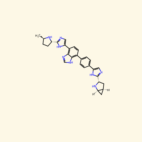 C[C@@H]1CC[C@@H](c2ncc(-c3ccc(-c4ccc(-c5cnc([C@@H]6C[C@H]7C[C@H]7N6)[nH]5)cc4)c4[nH]cnc34)[nH]2)N1